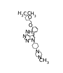 CN1CCN([C@H]2CC[C@H](n3cc(-c4cccc(OC[C@H]5CCC(C)(C)O5)c4)c4c(N)ncnc43)CC2)CC1